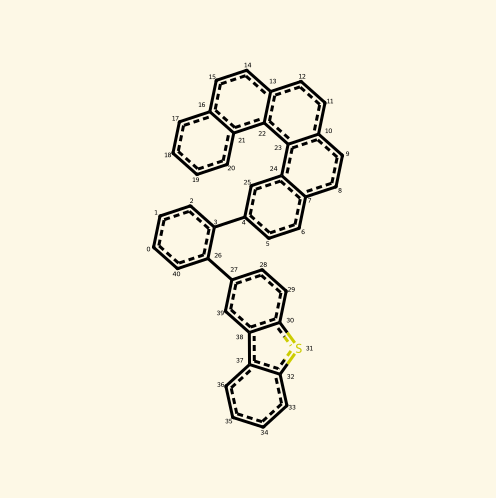 c1ccc(-c2ccc3ccc4ccc5ccc6ccccc6c5c4c3c2)c(-c2ccc3sc4ccccc4c3c2)c1